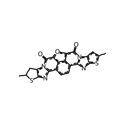 Cc1cc2c(nc3c4ccc5c6c(oc(c(=O)n23)c46)c(=O)n2c3c(nc52)SC(C)C3)s1